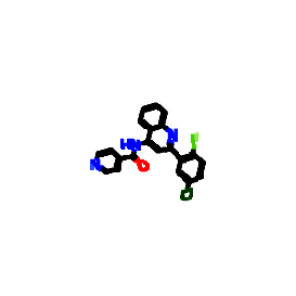 O=C(Nc1cc(-c2cc(Cl)ccc2F)nc2ccccc12)c1ccncc1